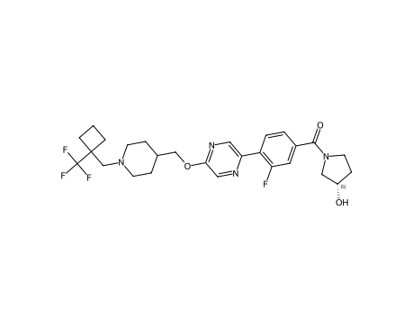 O=C(c1ccc(-c2cnc(OCC3CCN(CC4(C(F)(F)F)CCC4)CC3)cn2)c(F)c1)N1CC[C@H](O)C1